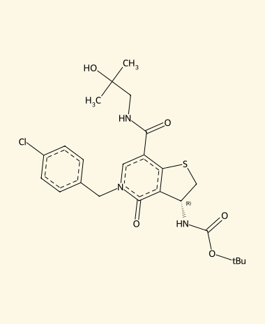 CC(C)(O)CNC(=O)c1cn(Cc2ccc(Cl)cc2)c(=O)c2c1SC[C@@H]2NC(=O)OC(C)(C)C